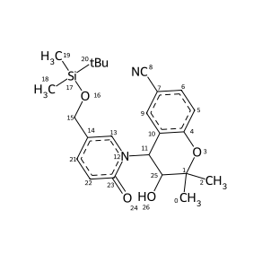 CC1(C)Oc2ccc(C#N)cc2C(n2cc(CO[Si](C)(C)C(C)(C)C)ccc2=O)C1O